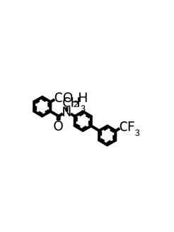 CN(C(=O)c1ccccc1C(=O)O)c1ccc(-c2cccc(C(F)(F)F)c2)cc1